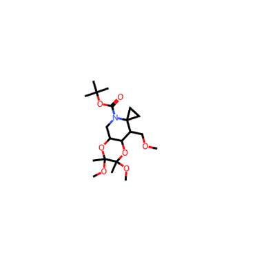 COCC1C2OC(C)(OC)C(C)(OC)OC2CN(C(=O)OC(C)(C)C)C12CC2